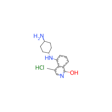 Cc1cnc(O)c2cccc(N[C@H]3CC[C@H](N)CC3)c12.Cl